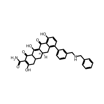 NC(=O)C1=C(O)CC2C[C@@H]3Cc4c(-c5cccc(CNCc6ccccc6)c5)ccc(O)c4C(=O)C3=C(O)C2C1=O